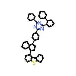 c1ccc(-c2nc(-c3ccc(-c4ccc(-c5cccc6sc7ccccc7c56)c5ccccc45)cc3)nc(-c3ccccc3-c3ccccc3)n2)cc1